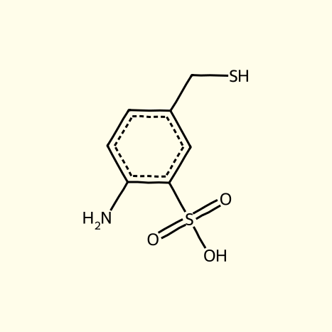 Nc1ccc(CS)cc1S(=O)(=O)O